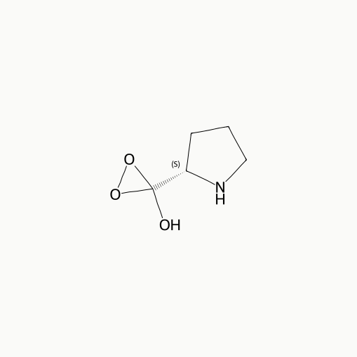 OC1([C@@H]2CCCN2)OO1